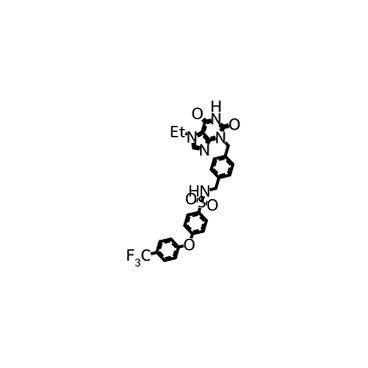 CCn1cnc2c1c(=O)[nH]c(=O)n2Cc1ccc(CNS(=O)(=O)c2ccc(Oc3ccc(C(F)(F)F)cc3)cc2)cc1